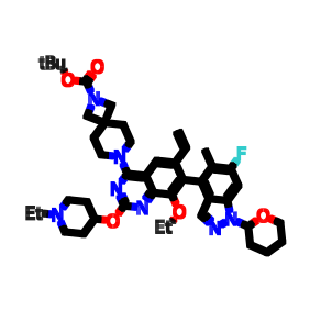 C=Cc1cc2c(N3CCC4(CC3)CN(C(=O)OC(C)(C)C)C4)nc(OC3CCN(CC)CC3)nc2c(OCC)c1-c1c(C)c(F)cc2c1cnn2C1CCCCO1